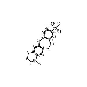 CN1CCCc2cc3c(cc21)CCc1cc(S(C)(=O)=O)cnc1C3